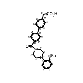 CC(C)(C)c1ccccc1N1CCN(C(=O)c2ccc(-c3ccc(CC(=O)O)cc3)cc2)CC1